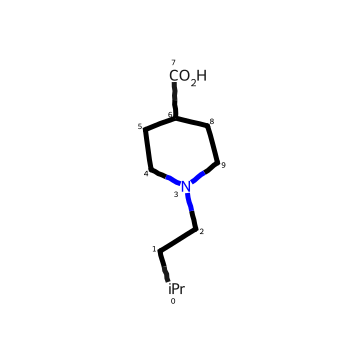 CC(C)CCN1CCC(C(=O)O)CC1